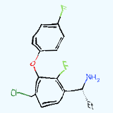 CC[C@@H](N)c1ccc(Cl)c(Oc2ccc(F)cc2)c1F